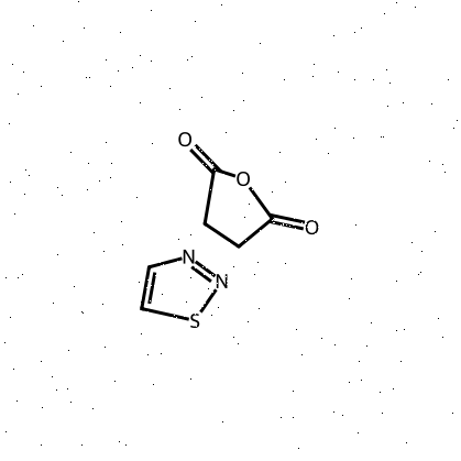 O=C1CCC(=O)O1.c1csnn1